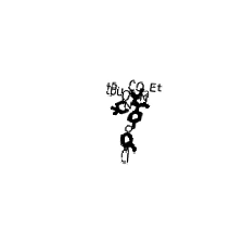 CCOC(=O)[C@@H](OC(C)(C)C)c1c(C)nc(C)c(-c2ccc(COc3ccc(Cl)c(C)c3)cc2)c1N1CCC(C)(C)CC1